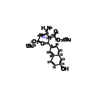 CC(C)(C)OC(=O)/N=C(/N)N(Cc1ccc2cc(O)ccc2c1)C(=O)OC(C)(C)C